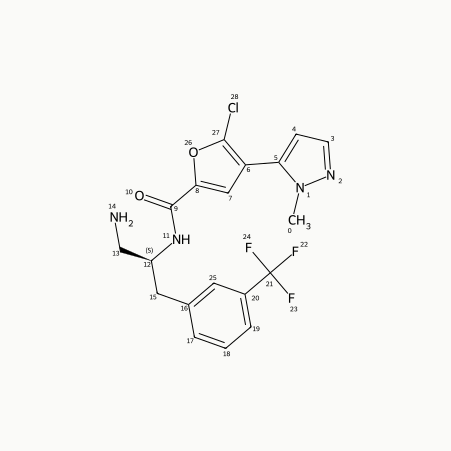 Cn1nccc1-c1cc(C(=O)N[C@H](CN)Cc2cccc(C(F)(F)F)c2)oc1Cl